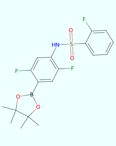 CC1(C)OB(c2cc(F)c(NS(=O)(=O)c3ccccc3F)cc2F)OC1(C)C